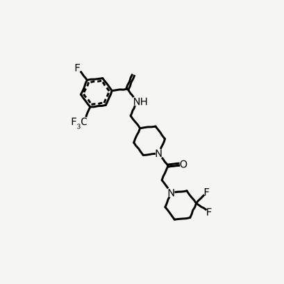 C=C(NCC1CCN(C(=O)CN2CCCC(F)(F)C2)CC1)c1cc(F)cc(C(F)(F)F)c1